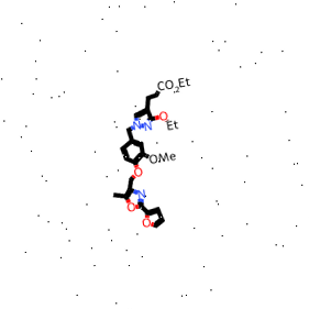 CCOC(=O)CCc1cn(Cc2ccc(OCc3nc(-c4ccco4)oc3C)c(OC)c2)nc1OCC